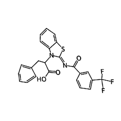 O=C(/N=c1\sc2ccccc2n1C(Cc1ccccc1)C(=O)O)c1cccc(C(F)(F)F)c1